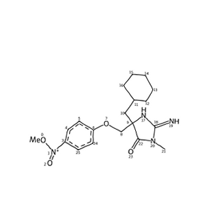 CO[N+](=O)c1ccc(OCC2(CC3CCCCC3)NC(=N)N(C)C2=O)cc1